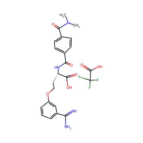 CN(C)C(=O)c1ccc(C(=O)N[C@@H](CCOc2cccc(C(=N)N)c2)C(=O)O)cc1.O=C(O)C(F)(F)F